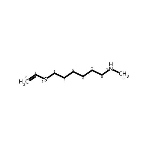 C=CSCCCCCCNC